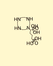 O=P(O)(O)CCCC(N1CCNCCNCCNCC1)P(=O)(O)O